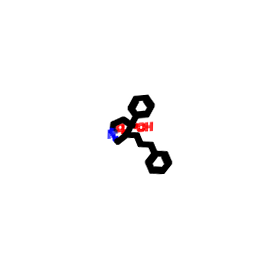 OC1(c2ccccc2)CCN2CC1(CCCc1ccccc1)O2